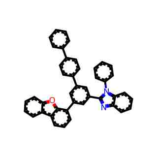 c1ccc(-c2ccc(-c3cc(-c4cccc5c4oc4ccccc45)cc(-c4nc5ccccc5n4-c4ccccc4)c3)cc2)cc1